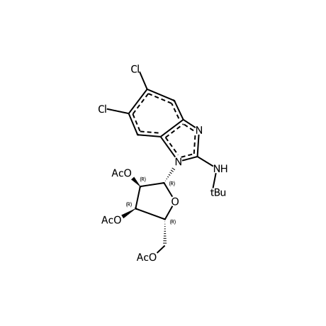 CC(=O)OC[C@H]1O[C@@H](n2c(NC(C)(C)C)nc3cc(Cl)c(Cl)cc32)[C@H](OC(C)=O)[C@@H]1OC(C)=O